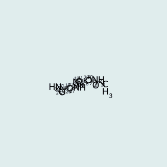 CC=CC(=O)Nc1ccc(-c2ccnc(Nc3ccc(C4CNCCO4)cc3)n2)cc1